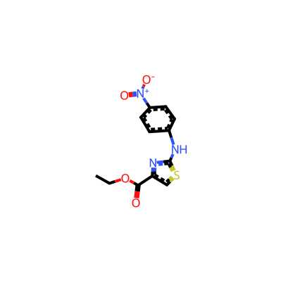 CCOC(=O)c1csc(Nc2ccc([N+](=O)[O-])cc2)n1